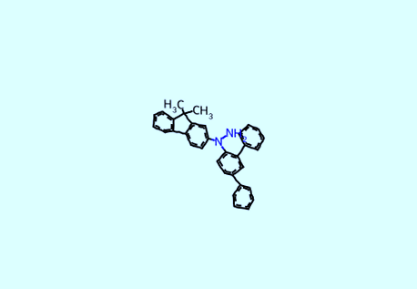 CC1(C)c2ccccc2-c2ccc(N(N)c3ccc(-c4ccccc4)cc3-c3ccccc3)cc21